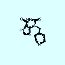 O=c1[nH]c(=S)n(Cc2ccncc2)c2nc[nH]c12